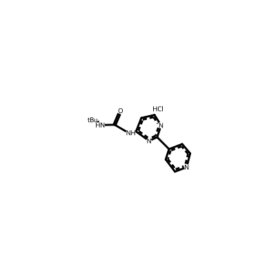 CC(C)(C)NC(=O)Nc1ccnc(-c2ccncc2)n1.Cl